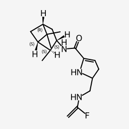 C=C(F)NCC1CC=C(C(=O)N[C@H]2C[C@H]3C[C@@H]([C@@H]2C)C3(C)C)N1